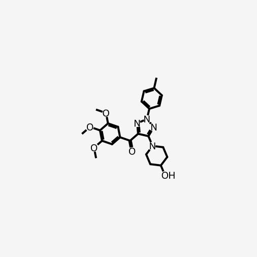 COc1cc(C(=O)c2nn(-c3ccc(C)cc3)nc2N2CCC(O)CC2)cc(OC)c1OC